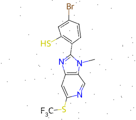 Cn1c(-c2ccc(Br)cc2S)nc2cc(SC(F)(F)F)ncc21